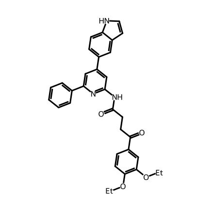 CCOc1ccc(C(=O)CCC(=O)Nc2cc(-c3ccc4[nH]ccc4c3)cc(-c3ccccc3)n2)cc1OCC